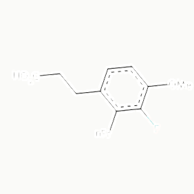 CCCc1c(CCC(=O)O)ccc(OC)c1F